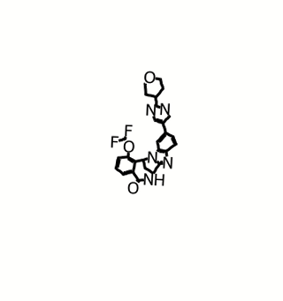 O=C1NC2CC(c3c(OC(F)F)cccc31)n1c2nc2ccc(-c3cnc(C4CCOCC4)nc3)cc21